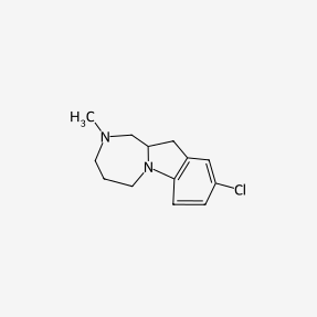 CN1CCCN2c3ccc(Cl)cc3CC2C1